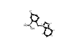 OB(O)c1cc(F)ccc1Cn1cnc2ccccc21